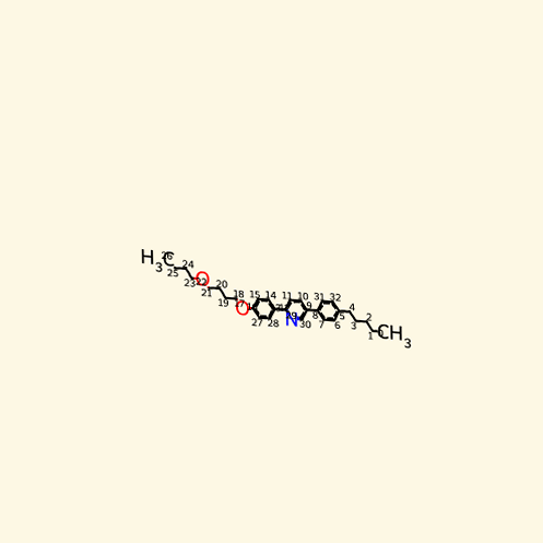 CCCCCc1ccc(-c2ccc(-c3ccc(OCCCCOCCCC)cc3)nc2)cc1